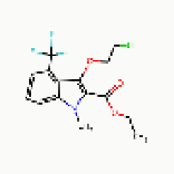 CCOC(=O)c1c(OCCCl)c2c(C(F)(F)F)cccc2n1C